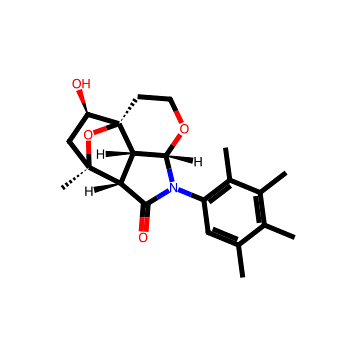 Cc1cc(N2C(=O)[C@H]3[C@H]4[C@@H]2OCC[C@@]42O[C@]3(C)C[C@H]2O)c(C)c(C)c1C